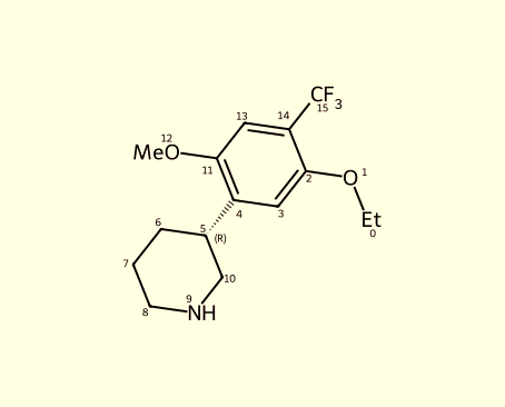 CCOc1cc([C@H]2CCCNC2)c(OC)cc1C(F)(F)F